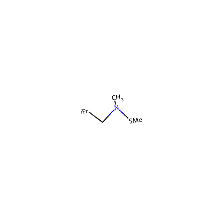 CSN(C)CC(C)C